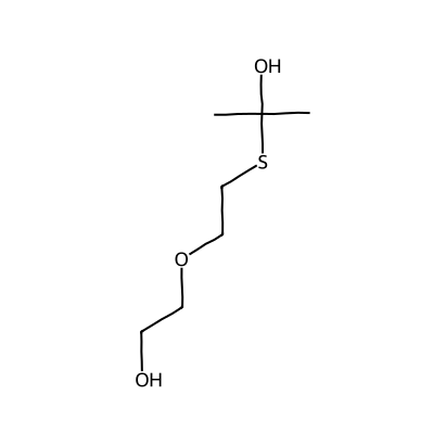 CC(C)(O)SCCOCCO